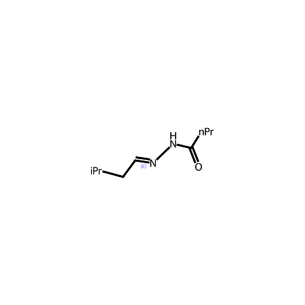 CCCC(=O)N/N=C/CC(C)C